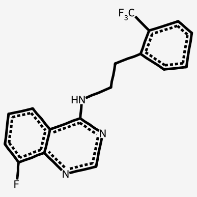 Fc1cccc2c(NCCc3ccccc3C(F)(F)F)ncnc12